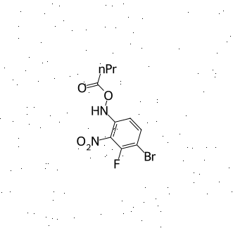 CCCC(=O)ONc1ccc(Br)c(F)c1[N+](=O)[O-]